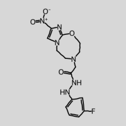 O=C(CN1CCOc2nc([N+](=O)[O-])cn2CC1)NNc1cccc(F)c1